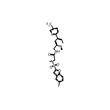 C=N/C(=C\C(=C/C)c1ccc(C(F)(F)F)cn1)CNC(=O)CN(C)S(=O)(=O)c1cc2cc(F)ccc2o1